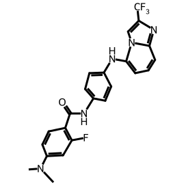 CN(C)c1ccc(C(=O)Nc2ccc(Nc3cccc4nc(C(F)(F)F)cn34)cc2)c(F)c1